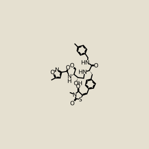 Cc1ccc(CNC(=O)[C@H](Cc2ccc(C=C3SC(=O)N(C)C3=O)cc2)NC[C@H](O)[C@@H](C=O)NC(=O)c2cc(C)on2)cc1